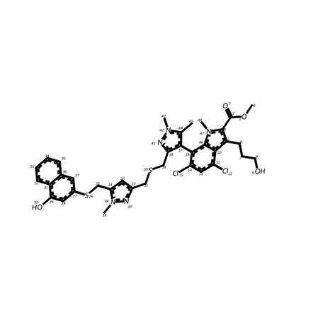 COC(=O)c1c(CCCO)c2c(Cl)cc(Cl)c(-c3c(CSCc4cc(CSc5cc(O)c6ccccc6c5)n(C)n4)nn(C)c3C)c2n1C